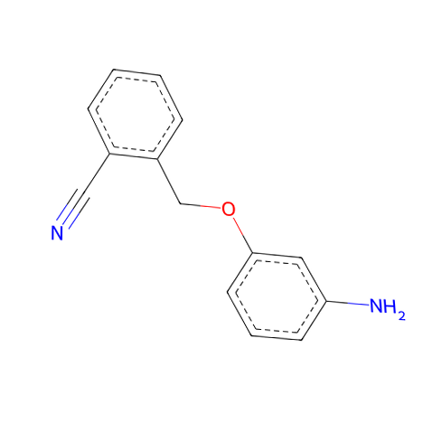 N#Cc1ccccc1COc1cccc(N)c1